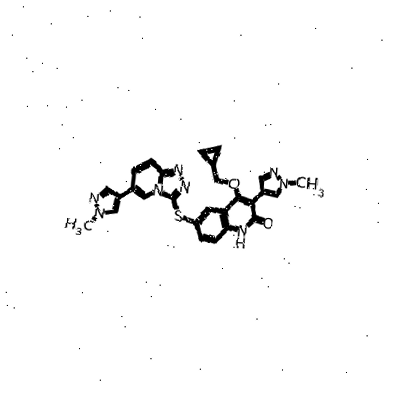 Cn1cc(-c2ccc3nnc(Sc4ccc5[nH]c(=O)c(-c6cnn(C)c6)c(OCC6CC6)c5c4)n3c2)cn1